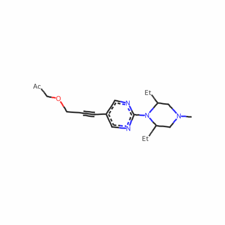 CCC1CN(C)CC(CC)N1c1ncc(C#CCOCC(C)=O)cn1